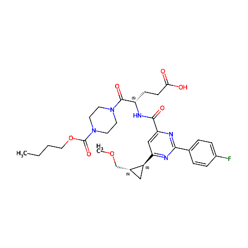 CCCCOC(=O)N1CCN(C(=O)[C@H](CCC(=O)O)NC(=O)c2cc([C@H]3C[C@@H]3COC)nc(-c3ccc(F)cc3)n2)CC1